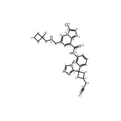 Cn1cnnc1C1(c2cccc(NC(=O)c3cc(CNCC4(C)CCC4)cn4c(Cl)cnc34)c2)CC(CC#N)C1